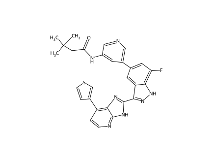 CC(C)(C)CC(=O)Nc1cncc(-c2cc(F)c3[nH]nc(-c4nc5c(-c6ccsc6)ccnc5[nH]4)c3c2)c1